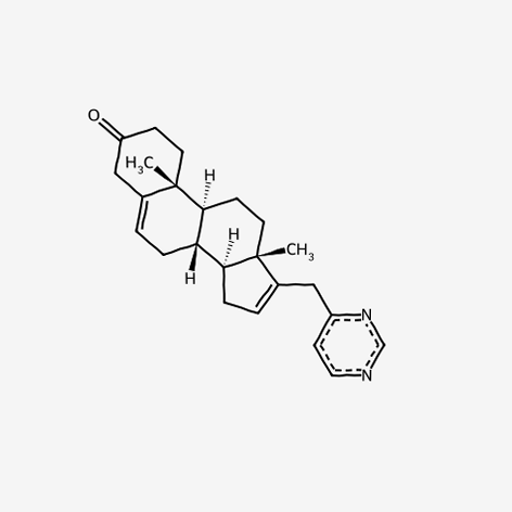 C[C@]12CCC(=O)CC1=CC[C@@H]1[C@@H]2CC[C@]2(C)C(Cc3ccncn3)=CC[C@@H]12